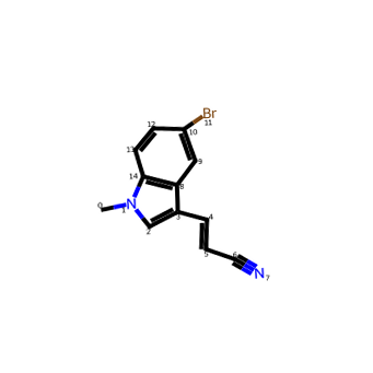 Cn1cc(/C=C/C#N)c2cc(Br)ccc21